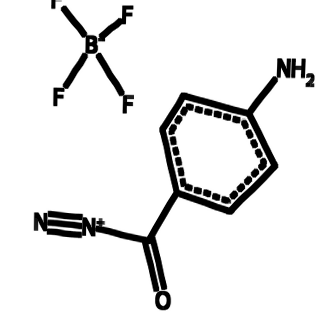 F[B-](F)(F)F.N#[N+]C(=O)c1ccc(N)cc1